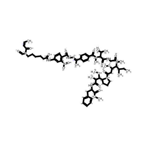 C/C=C\C(=O)N(C=O)CCCCCC(=O)Nc1ccc(C(=O)N/N=C(\C)c2ccc(C(=O)N(C)C(C(=O)NCC(=O)N(C)C(C(C)CC)C(CC(=O)N3CCCC3C(OC)C(C)C(=O)NC(Cc3ccccc3)C(=O)OC)OC)C(C)C)cc2)c([N+](=O)[O-])c1